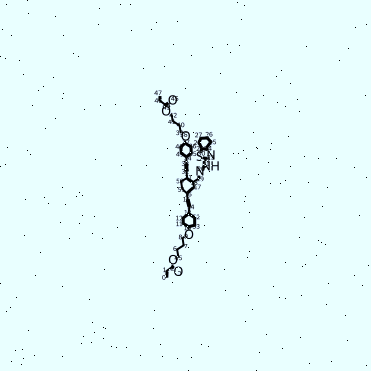 C=CC(=O)OCCCCOc1ccc(C#CC2=CC(/C=N/Nc3nc4ccccc4s3)=C(C#Cc3ccc(OCCCCOC(=O)C=C)cc3)CC2)cc1